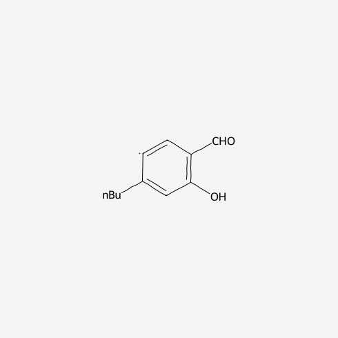 CCCCc1[c]cc(C=O)c(O)c1